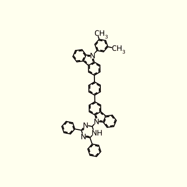 Cc1cc(C)cc(-n2c3ccccc3c3cc(-c4ccc(-c5ccc6c(c5)c5ccccc5n6C5N=C(c6ccccc6)N=C(c6ccccc6)N5)cc4)ccc32)c1